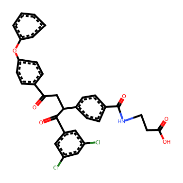 O=C(O)CCNC(=O)c1ccc(C(CC(=O)c2ccc(Oc3ccccc3)cc2)C(=O)c2cc(Cl)cc(Cl)c2)cc1